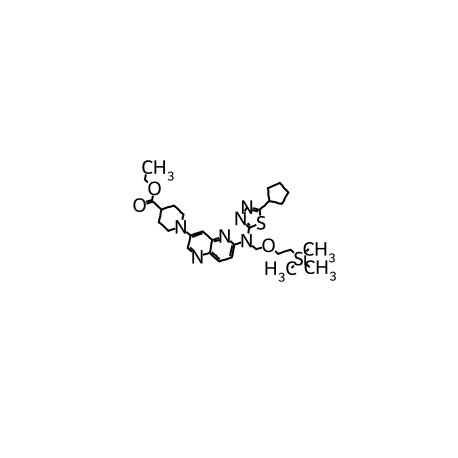 CCOC(=O)C1CCN(c2cnc3ccc(N(COCC[Si](C)(C)C)c4nnc(C5CCCC5)s4)nc3c2)CC1